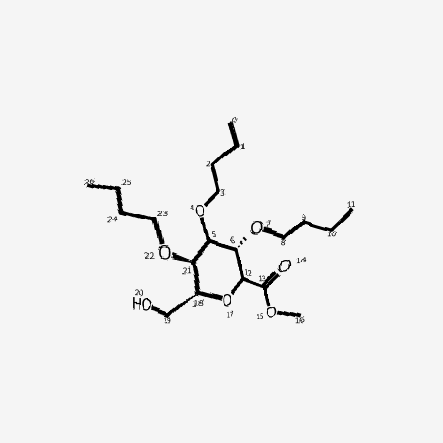 CCCCOC1[C@H](OCCCC)C(C(=O)OC)O[C@@H](CO)[C@H]1OCCCC